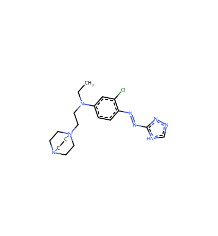 CCN(CC[N+]12CCN(CC1)CC2)c1ccc(N=Nc2nnc[nH]2)c(Cl)c1